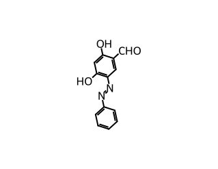 O=Cc1cc(N=Nc2ccccc2)c(O)cc1O